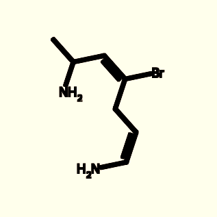 CC(N)/C=C(/Br)C/C=C\N